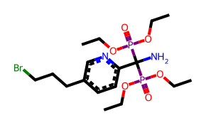 CCOP(=O)(OCC)C(N)(c1ccc(CCCBr)cn1)P(=O)(OCC)OCC